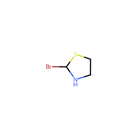 BrC1N[CH]CS1